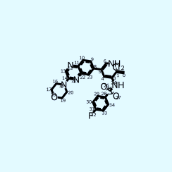 C=C(Cl)/C(=C\C(=C/N)c1ccc2ncc(N3CCOCC3)nc2c1)NS(=O)(=O)c1ccc(F)cc1